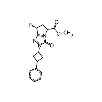 COC(=O)[C@@H]1C[C@H](F)c2nn(C3CC(c4ccccc4)C3)c(=O)n21